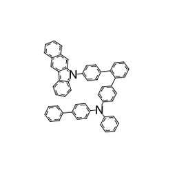 c1ccc(-c2ccc(N(c3ccccc3)c3ccc(-c4ccccc4-c4ccc(-n5c6ccccc6c6cc7ccccc7cc65)cc4)cc3)cc2)cc1